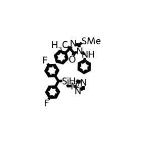 CSC1=N[C@@](C)(c2ccccc2)C(=O)N1Nc1ccccc1.Fc1ccc(C([SiH2]Cn2cncn2)c2ccc(F)cc2)cc1